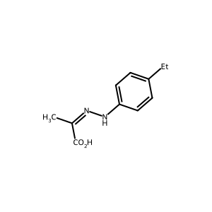 CCc1ccc(N/N=C(/C)C(=O)O)cc1